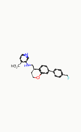 O=C(O)c1ccncc1NCC1CCOc2cc(-c3ccc(CF)cc3)ccc21